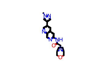 Cn1cc(-c2cnc3cnc(NC(=O)CN4C5CCC4COC5)cc3c2)cn1